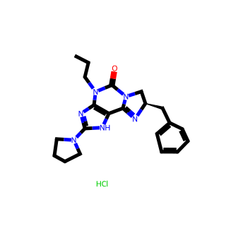 CCCN1C(=O)N2C[C@@H](Cc3ccccc3)N=C2c2[nH]c(N3CCCC3)nc21.Cl